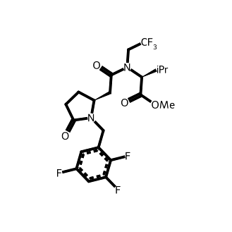 COC(=O)[C@H](C(C)C)N(CC(F)(F)F)C(=O)C[C@@H]1CCC(=O)N1Cc1cc(F)cc(F)c1F